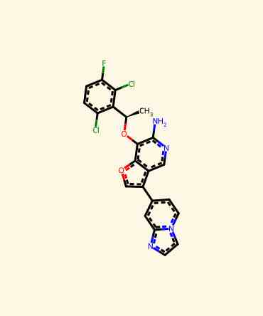 C[C@@H](Oc1c(N)ncc2c(-c3ccn4ccnc4c3)coc12)c1c(Cl)ccc(F)c1Cl